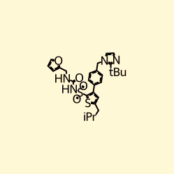 CC(C)Cc1cc(-c2ccc(Cn3ccnc3C(C)(C)C)cc2)c(S(=O)(=O)NC(=O)NCc2ccco2)s1